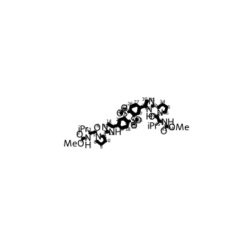 COC(=O)N[C@H](C(=O)N1CCC[C@H]1c1ncc(-c2ccc3c(c2)S(=O)(=O)c2ccc(-c4cnc([C@@H]5CCCN5C(=O)[C@@H](NC(=O)OC)C(C)C)[nH]4)cc2S3(=O)=O)[nH]1)C(C)C